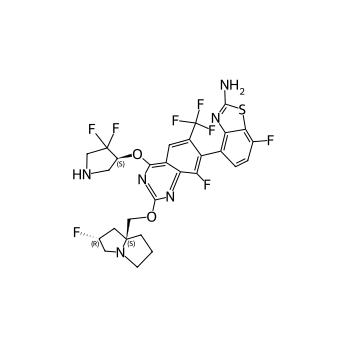 Nc1nc2c(-c3c(C(F)(F)F)cc4c(O[C@H]5CNCC5(F)F)nc(OC[C@@]56CCCN5C[C@H](F)C6)nc4c3F)ccc(F)c2s1